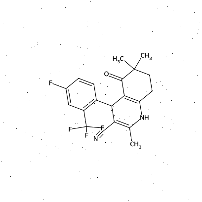 CC1=C(C#N)C(c2ccc(F)cc2C(F)(F)F)C2=C(CCC(C)(C)C2=O)N1